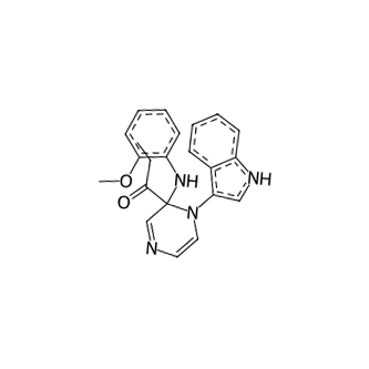 CCC(=O)C1(Nc2ccccc2OC)C=NC=CN1c1c[nH]c2ccccc12